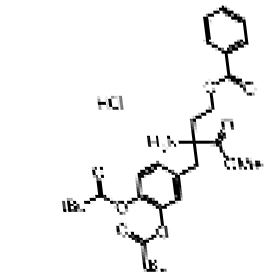 COC(=O)[C@@](N)(CCOC(=O)c1ccccc1)Cc1ccc(OC(=O)C(C)(C)C)c(OC(=O)C(C)(C)C)c1.Cl